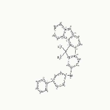 CC1(C)c2cc(Nc3ccc(-c4ccccc4)cc3)ccc2-c2ccc3oc4ccccc4c3c21